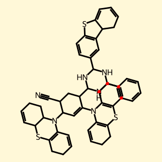 N#CC1CC(C2NC(c3ccccc3)NC(c3ccc4c(c3)C3CC=CC=C3S4)N2)C(N2C3=C(CCC=C3)SC3=C2CCC=C3)=CC1N1C2=C(CCC=C2)SC2C=CCCC21